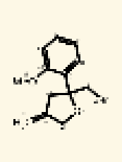 C=C1COC(CBr)(c2ccccc2OC)C1